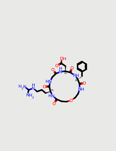 NC(N)NCCC[C@@H]1NC(=O)CCOCCNC(=O)[C@@H](Cc2ccccc2)NC(=O)[C@H](CC(=O)O)NC(=O)CNC1=O